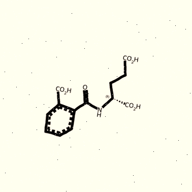 O=C(O)CC[C@@H](NC(=O)c1ccccc1C(=O)O)C(=O)O